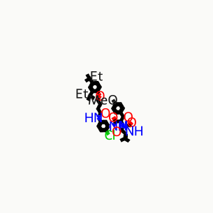 CCC(C)(C)c1ccc(OCCCC(=O)Nc2ccc(Cl)c(NC(=O)C(C(=O)c3ccc(OC)cc3)N3C(=O)NC(=C(C)C)C3=O)c2)c(C(C)(C)CC)c1